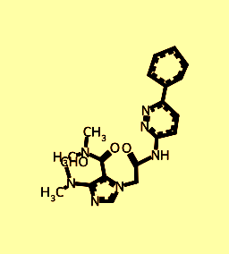 CN(C)C(=O)c1c(N(C)C=O)ncn1CC(=O)Nc1ccc(-c2ccccc2)nn1